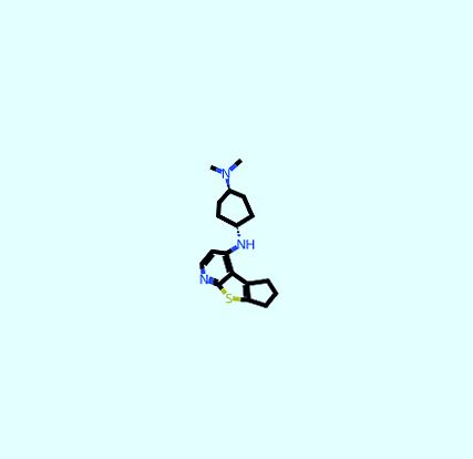 CN(C)[C@H]1CC[C@H](Nc2ccnc3sc4c(c23)CCC4)CC1